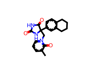 Cc1cccn(CC2(c3ccc4c(c3)CCCC4)NC(=O)NC2=O)c1=O